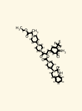 CCOC(=O)[C@@H](C)N1CCC(N2CCN(C(=O)C(Cc3cc(Cl)c(N)c(C(F)(F)F)c3)OC(=O)N3CCC(N4CCc5ccccc5NC4=O)CC3)CC2)CC1